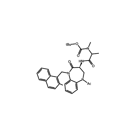 CC(=O)N1C[C@H](NC(=O)C(C)N(C)C(=O)OC(C)(C)C)C(=O)N(Cc2c(C)ccc3ccccc23)c2ccccc21